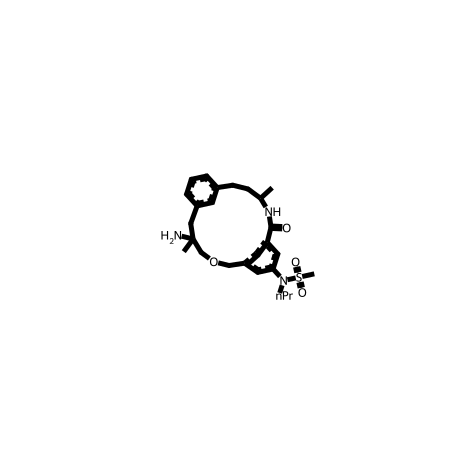 CCCN(c1cc2cc(c1)C(=O)NC(C)CCc1cccc(c1)CC(C)(N)COC2)S(C)(=O)=O